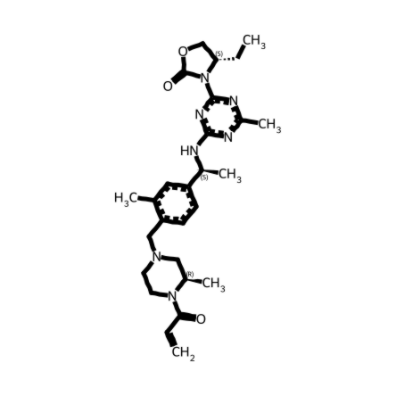 C=CC(=O)N1CCN(Cc2ccc([C@H](C)Nc3nc(C)nc(N4C(=O)OC[C@@H]4CC)n3)cc2C)C[C@H]1C